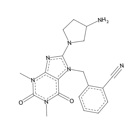 Cn1c(=O)c2c(nc(N3CCC(N)C3)n2Cc2ccccc2C#N)n(C)c1=O